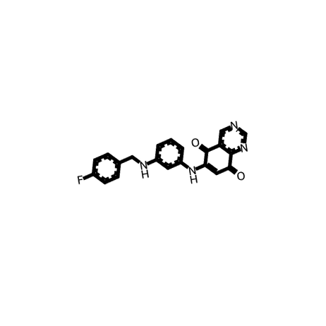 O=C1C(Nc2cccc(NCc3ccc(F)cc3)c2)=CC(=O)c2ncncc21